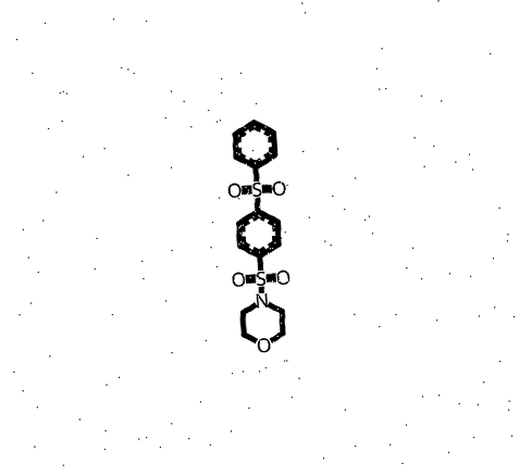 O=S(=O)(c1ccccc1)c1ccc(S(=O)(=O)N2CCOCC2)cc1